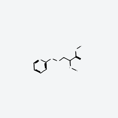 CC(C)NC(CSSc1ccccn1)C(=O)OC(C)C